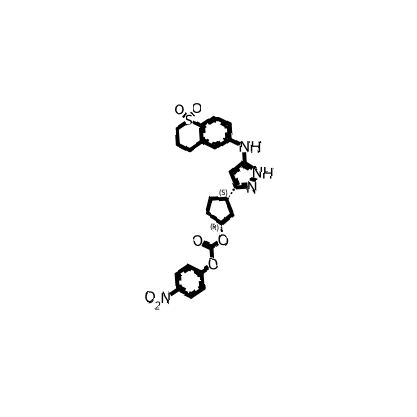 O=C(Oc1ccc([N+](=O)[O-])cc1)O[C@@H]1CC[C@H](c2cc(Nc3ccc4c(c3)CCCS4(=O)=O)[nH]n2)C1